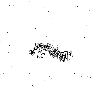 CCC(CNC(=O)c1cc(NC(=O)c2cc(NC(=O)c3cc([N+](=O)[O-])cn3C)cn2C)cn1C)NC(=N)N.Cl